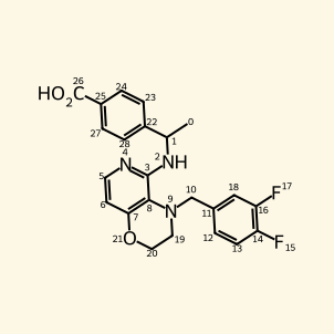 CC(Nc1nccc2c1N(Cc1ccc(F)c(F)c1)CCO2)c1ccc(C(=O)O)cc1